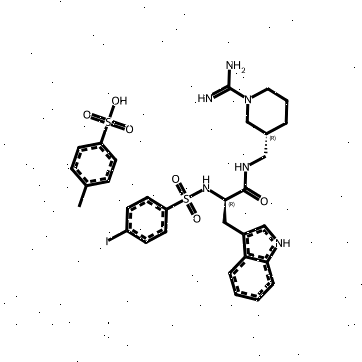 Cc1ccc(S(=O)(=O)O)cc1.N=C(N)N1CCC[C@H](CNC(=O)[C@@H](Cc2c[nH]c3ccccc23)NS(=O)(=O)c2ccc(I)cc2)C1